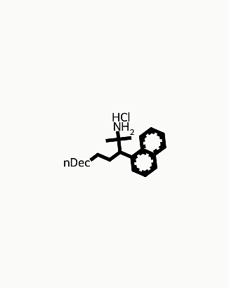 CCCCCCCCCCCCC(c1cccc2ccccc12)C(C)(C)N.Cl